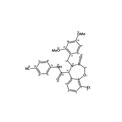 CCc1cccc2c1OCC(=O)N(Cc1ccc(OC)cc1OC)C2C(=O)Nc1ccc(C#N)cc1